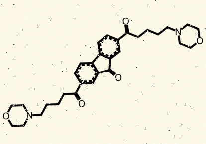 O=C(CCCCN1CCOCC1)c1ccc2c(c1)C(=O)c1cc(C(=O)CCCCN3CCOCC3)ccc1-2